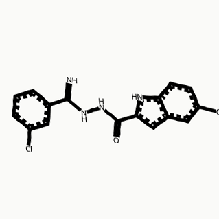 N=C(NNC(=O)c1cc2cc(Cl)ccc2[nH]1)c1cccc(Cl)c1